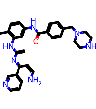 C=C(/N=C(\C=C/N)c1cccnc1)Nc1cc(NC(=O)c2ccc(CN3CCNCC3)cc2)ccc1C